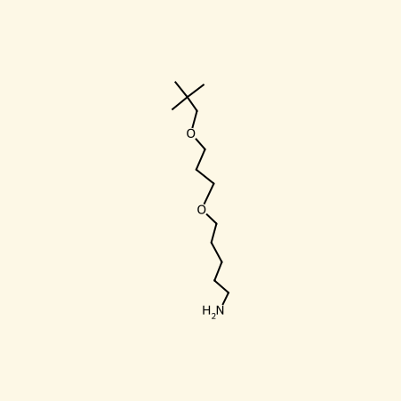 CC(C)(C)COCCCOCCCCCN